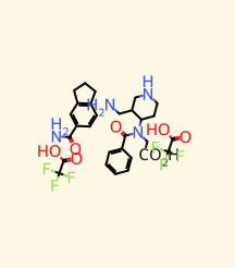 NC(=O)c1ccc2c(c1)CCC2.NCC1CNCCC1N(CC(=O)O)C(=O)c1ccccc1.O=C(O)C(F)(F)F.O=C(O)C(F)(F)F